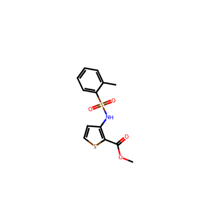 COC(=O)c1sccc1NS(=O)(=O)c1ccccc1C